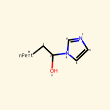 CCCCCCC(O)n1ccnc1